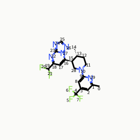 Cc1cc(C(F)(F)F)cc(N2CC[C@@H](C)[C@H](c3cc(C(F)F)nc4ncnn34)C2)n1